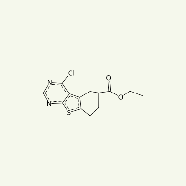 CCOC(=O)C1CCc2sc3ncnc(Cl)c3c2C1